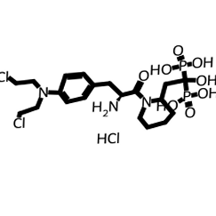 Cl.N[C@@H](Cc1ccc(N(CCCl)CCCl)cc1)C(=O)N1CCCCC1CC(O)(P(=O)(O)O)P(=O)(O)O